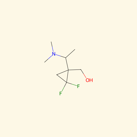 CC(N(C)C)C1(CO)CC1(F)F